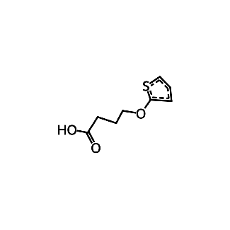 O=C(O)CCCOc1cccs1